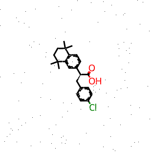 CC1(C)CCC(C)(C)c2cc([C@H](Cc3ccc(Cl)cc3)C(=O)O)ccc21